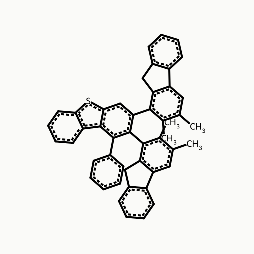 Cc1cc2c(c(-c3cc4sc5ccccc5c4c(-c4ccccc4)c3-c3c(C)c(C)cc4c3Cc3ccccc3-4)c1C)Cc1ccccc1-2